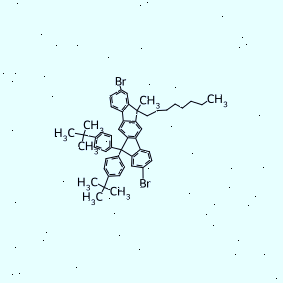 CCCCCCCCC1(C)c2cc(Br)ccc2-c2cc3c(cc21)-c1ccc(Br)cc1C3(c1ccc(C(C)(C)C)cc1)c1ccc(C(C)(C)C)cc1